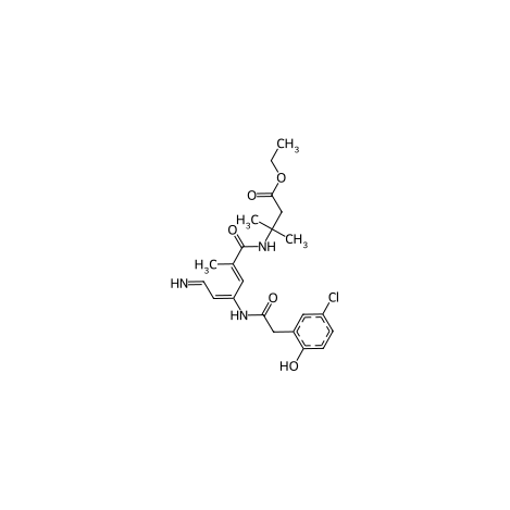 CCOC(=O)CC(C)(C)NC(=O)/C(C)=C/C(=C\C=N)NC(=O)Cc1cc(Cl)ccc1O